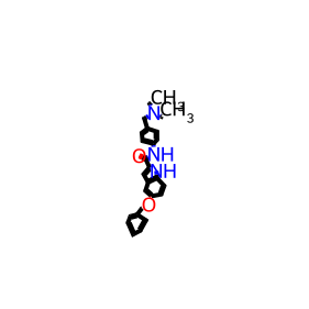 CCN(CC)Cc1ccc(NC(=O)c2cc3cc(OCc4ccccc4)ccc3[nH]2)cc1